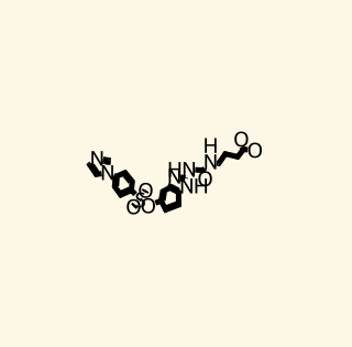 COC(=O)CCCNC(=O)Nc1nc2cc(OS(=O)(=O)c3ccc(-n4ccnc4)cc3)ccc2[nH]1